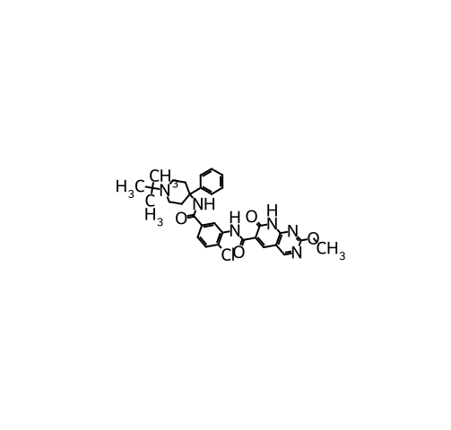 COc1ncc2cc(C(=O)Nc3cc(C(=O)NC4(c5ccccc5)CCN(C(C)(C)C)CC4)ccc3Cl)c(=O)[nH]c2n1